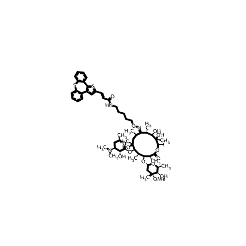 CO[C@]1(C)C[C@H](O[C@H]2[C@H](C)[C@@H](O[C@@H]3O[C@H](C)C[C@H](N(C)C)[C@H]3O)[C@](C)(O)C[C@@H](C)/C(=N\OCCCCCNC(=O)/C=C/c3cc4c(s3)-c3ccccc3Sc3ccccc3-4)[C@H](C)[C@@H](O)[C@](C)(O)[C@@H](I)OC(=O)[C@@H]2C)O[C@@H](C)[C@@H]1O